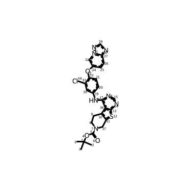 CC(C)(C)OC(=O)N1CCc2c(sc3ncnc(Nc4ccc(Oc5ccc6ncnn6c5)c(Cl)c4)c23)C1